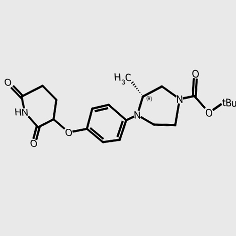 C[C@@H]1CN(C(=O)OC(C)(C)C)CCN1c1ccc(OC2CCC(=O)NC2=O)cc1